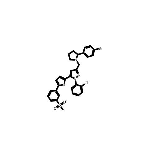 CS(=O)(=O)c1cccc(-c2ccc(-c3cc(CN4CCCC4c4ccc(Br)cc4)nn3-c3ccccc3Cl)s2)c1